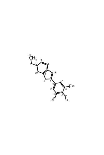 CCC1C=CC2=C(CC(c3cc(F)c(F)c(F)c3)=C2)C1